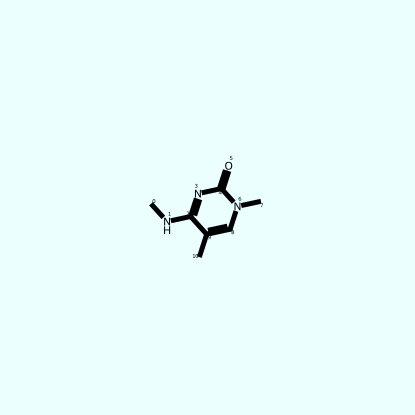 CNc1nc(=O)n(C)cc1C